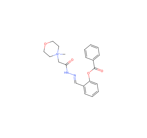 C[N+]1(CC(=O)N/N=C/c2ccccc2OC(=O)c2ccccc2)CCOCC1